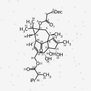 CCCCCCCCCCCC(=O)OC12C[C@@H](C)C34C=C(C)[C@H](O)[C@@]3(O)[C@H](O)C(COC(=O)C(C)C(C)C)=C[C@H](C4=O)[C@@H]1C2(C)C